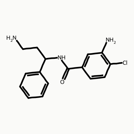 NCCC(NC(=O)c1ccc(Cl)c(N)c1)c1ccccc1